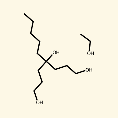 CCCCCC(O)(CCCO)CCCO.CCO